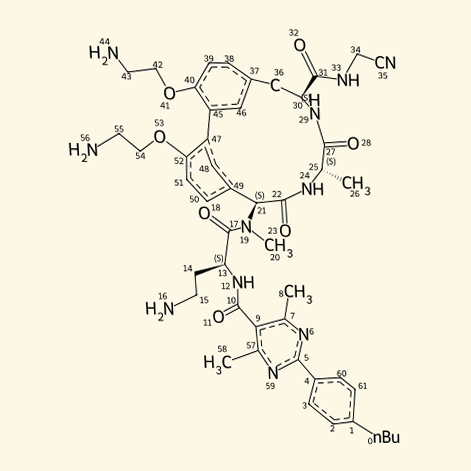 CCCCc1ccc(-c2nc(C)c(C(=O)N[C@@H](CCN)C(=O)N(C)[C@@H]3C(=O)N[C@@H](C)C(=O)N[C@H](C(=O)NCC#N)Cc4ccc(OCCN)c(c4)-c4cc3ccc4OCCN)c(C)n2)cc1